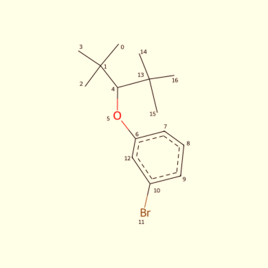 CC(C)(C)C(Oc1cccc(Br)c1)C(C)(C)C